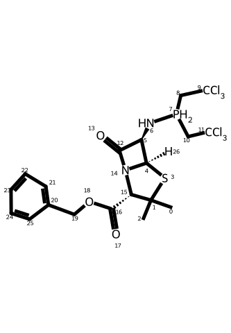 CC1(C)S[C@@H]2[C@H](N[PH2](CC(Cl)(Cl)Cl)CC(Cl)(Cl)Cl)C(=O)N2[C@H]1C(=O)OCc1ccccc1